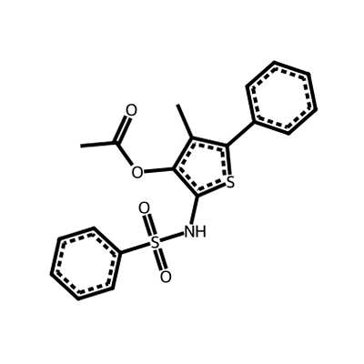 CC(=O)Oc1c(NS(=O)(=O)c2ccccc2)sc(-c2ccccc2)c1C